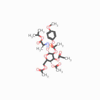 COc1ccc(OP(=O)(N[C@@H](C)C(=O)OC(C)C)O[C@H]2OC(COC(C)=O)[C@@H](OC(C)=O)C(OC(C)=O)C2OC(C)=O)cc1